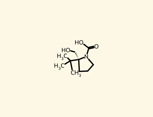 CC(C)(C)[C@]1(CO)CCCN1C(=O)O